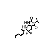 C=C(/C=C\C=C/C)[C@@H]1Nc2[nH]c(=O)n(C(C)C)c(=O)c2CC1(F)F